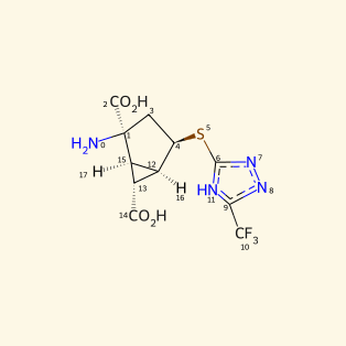 N[C@@]1(C(=O)O)C[C@@H](Sc2nnc(C(F)(F)F)[nH]2)[C@H]2[C@H](C(=O)O)[C@H]21